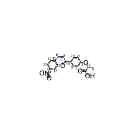 CC(Oc1ccc(C(=O)/C=C\c2ccc([N+](=O)[O-])cc2)cc1)C(=O)O